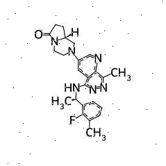 Cc1cccc([C@@H](C)Nc2nnc(C)c3ncc(N4CCN5C(=O)CC[C@@H]5C4)cc23)c1F